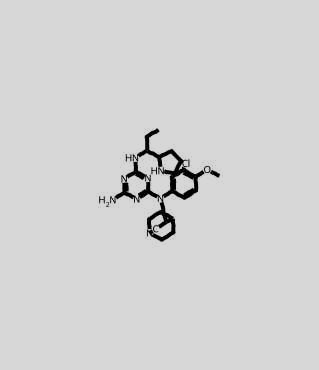 CCC(Nc1nc(N)nc(N(c2ccc(OC)c(Cl)c2)C2CN3CCC2CC3)n1)C1CCCN1